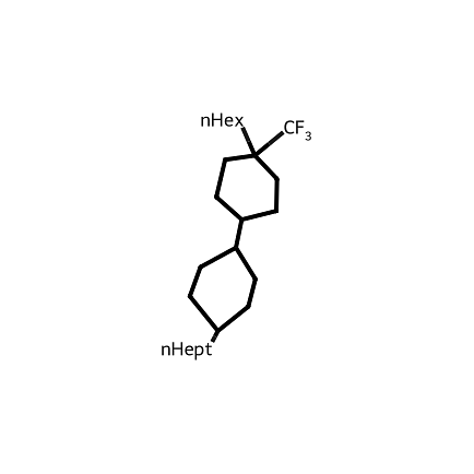 CCCCCCCC1CCC(C2CCC(CCCCCC)(C(F)(F)F)CC2)CC1